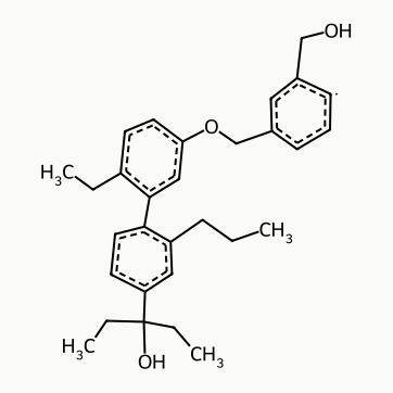 CCCc1cc(C(O)(CC)CC)ccc1-c1cc(OCc2cc[c]c(CO)c2)ccc1CC